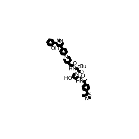 Cc1ncsc1-c1ccc([C@H](C)NC(=O)[C@@H]2C[C@@H](O)CN2C(=O)[C@@H](NC(=O)CC2CCN(c3ccc(-c4cnnc(-c5ccccc5O)c4)cc3)CC2)C(C)(C)C)cc1